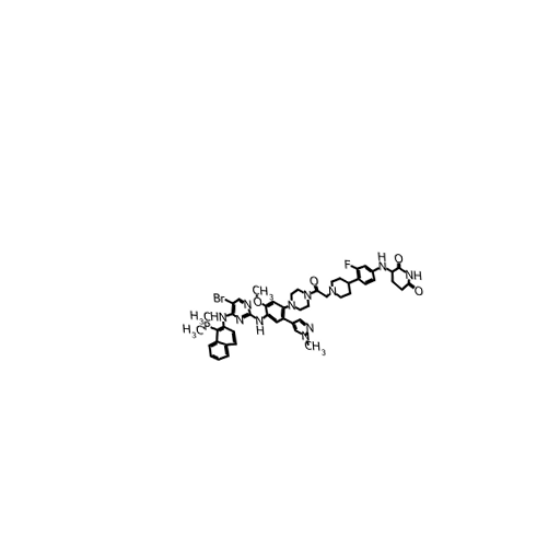 COc1cc(N2CCN(C(=O)CN3CCC(c4ccc(NC5CCC(=O)NC5=O)cc4F)CC3)CC2)c(-c2cnn(C)c2)cc1Nc1ncc(Br)c(Nc2ccc3ccccc3c2P(C)C)n1